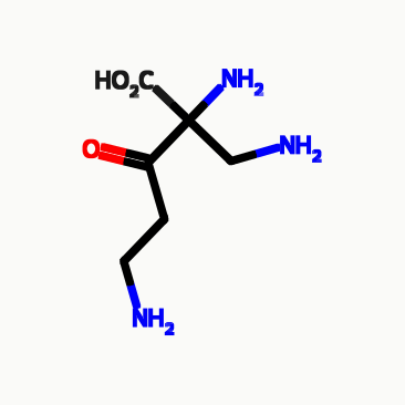 NCCC(=O)C(N)(CN)C(=O)O